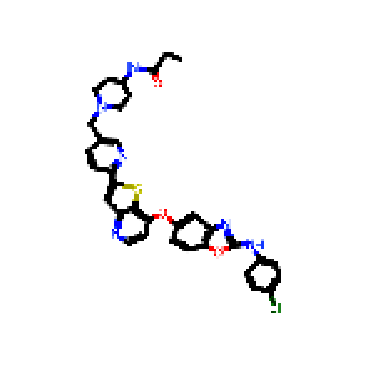 CCC(=O)NC1CCN(Cc2ccc(-c3cc4nccc(Oc5ccc6oc(Nc7ccc(Cl)cc7)nc6c5)c4s3)nc2)CC1